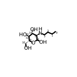 CCCCN[C@H]1C(O)O[C@H](CO)[C@@H](O)[C@@H]1O